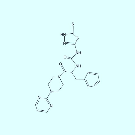 O=C(Nc1n[nH]c(=S)s1)NC(Cc1ccccc1)C(=O)N1CCN(c2ncccn2)CC1